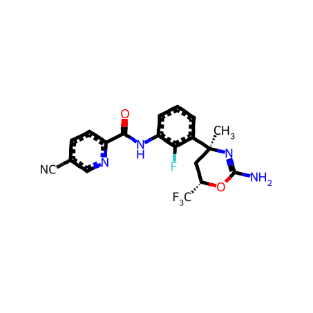 C[C@@]1(c2cccc(NC(=O)c3ccc(C#N)cn3)c2F)C[C@@H](C(F)(F)F)OC(N)=N1